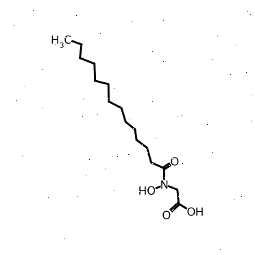 CCCCCCCCCCCCCC(=O)N(O)CC(=O)O